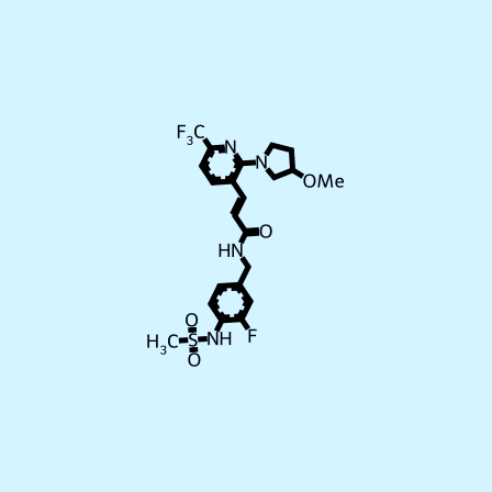 COC1CCN(c2nc(C(F)(F)F)ccc2/C=C/C(=O)NCc2ccc(NS(C)(=O)=O)c(F)c2)C1